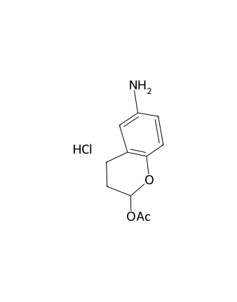 CC(=O)OC1CCc2cc(N)ccc2O1.Cl